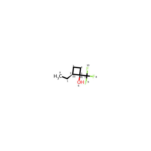 CC[C@H]1CC[C@]1(O)C(F)(F)F